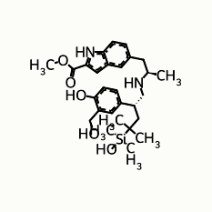 COC(=O)c1cc2cc(C[C@@H](C)NC[C@H](CC(C)(C)[Si](C)(C)O)c3ccc(O)c(CO)c3)ccc2[nH]1